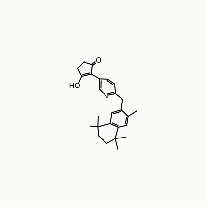 Cc1cc2c(cc1Cc1ccc(C3=C(O)CCC3=O)cn1)C(C)(C)CCC2(C)C